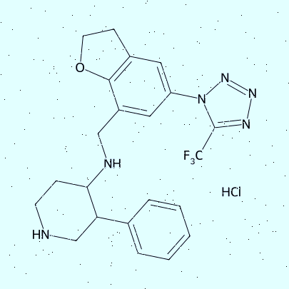 Cl.FC(F)(F)c1nnnn1-c1cc2c(c(CNC3CCNCC3c3ccccc3)c1)OCC2